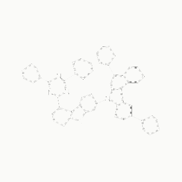 c1ccc(-c2ccc3c(c2)c2c4ccccc4c(-c4ccccc4)cc2n3-c2ccc3c(c2)sc2cccc(-c4nc(-c5ccccc5)nc(-c5ccccc5)n4)c23)cc1